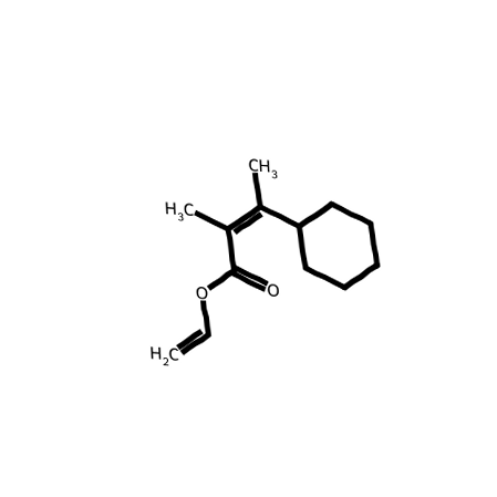 C=COC(=O)C(C)=C(C)C1CCCCC1